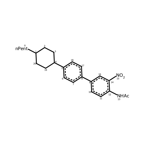 CCCCCC1CCC(c2ccc(-c3ccc(NC(C)=O)c([N+](=O)[O-])c3)cc2)CC1